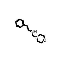 c1ccc(CCNCN2CCOCC2)cc1